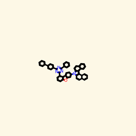 C1=CC2C=Cc3c(c4c5ccccc5ccc4n3-c3ccc4c(c3)oc3cccc(-c5nc(-c6ccccc6)nc(-c6ccc(-c7ccccc7)cc6)n5)c34)C2C=C1